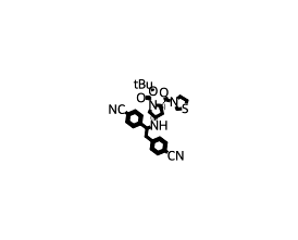 CC(C)(C)OC(=O)N1C[C@@H](NC(Cc2ccc(C#N)cc2)c2ccc(C#N)cc2)C[C@H]1C(=O)N1CCSC1